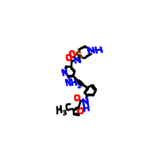 Cc1ccoc1C(=O)Nc1cccc(C#Cc2cc(C(=O)N=S3(=O)CCNCC3)cnc2N)c1